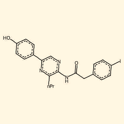 CCCc1nc(-c2ccc(O)cc2)cnc1NC(=O)Cc1ccc(I)cc1